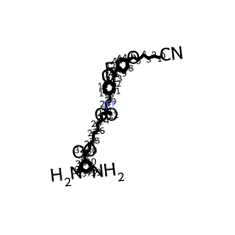 N#CCCCCCOc1ccc(C(F)(F)Oc2ccc(/C=C/C(=O)OCCCCCCOC(=O)c3cc(N)cc(N)c3)cc2)cc1